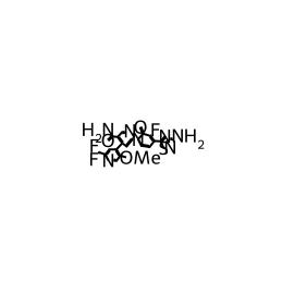 COc1cnc(C(F)F)cc1-c1cc(-n2ccc(-c3nc(N)ns3)c(F)c2=O)ncc1C(N)=O